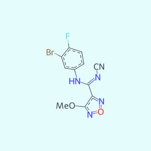 COc1nonc1/C(=N/C#N)Nc1ccc(F)c(Br)c1